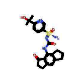 CC(C)(O)c1ccc([S@@](N)(=O)=NC(=O)Nc2c3c(cc4c2C(=O)CC4)CCC3)cn1